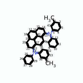 Cc1cccc(N(c2ccccc2)c2[c]cc3ccc4ccc(N(c5ccccc5)c5cccc(C)c5)c5ccc2c3c45)c1